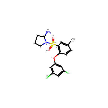 N#Cc1ccc(Oc2cc(Cl)cc(Cl)c2)c(S(=O)(=O)N2CCCC2N)c1